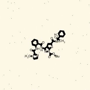 CCC(C)OC(=O)n1nc(NC(=O)c2ccccc2NC(=O)c2nccn2C)c2cc(C(=O)NC(C)(C)c3ccccc3)sc21